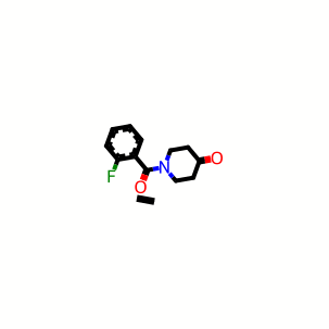 C=C.O=C1CCN(C(=O)c2ccccc2F)CC1